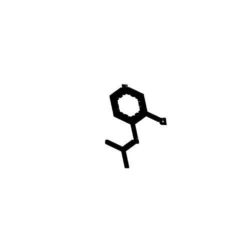 CC(C)Sc1ccncc1Cl